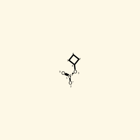 O=[N+]([O-])OC1CCC1